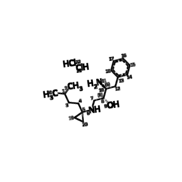 CC(C)CCC1(NC[C@@H](O)[C@@H](N)Cc2ccccc2)CC1.Cl.Cl